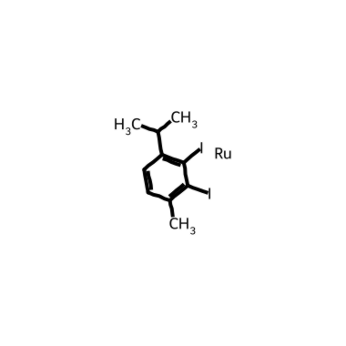 Cc1ccc(C(C)C)c(I)c1I.[Ru]